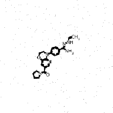 C=CN/N=C(\N)c1ccc(N2CCOc3cc(C(=O)N4CCCC4)cnc32)cc1